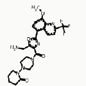 COc1ccc(-c2nc(C(=O)N3CCN(N4CCCCC4=O)CC3)c(CN)o2)c2ccc(C(F)(F)F)nc12